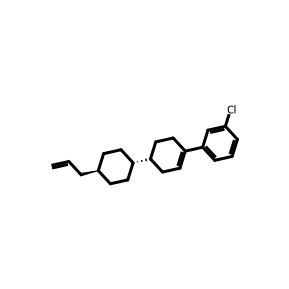 C=CC[C@H]1CC[C@H](C2CC=C(c3cccc(Cl)c3)CC2)CC1